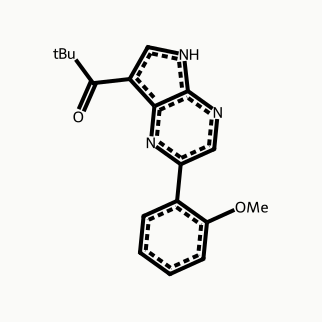 COc1ccccc1-c1cnc2[nH]cc(C(=O)C(C)(C)C)c2n1